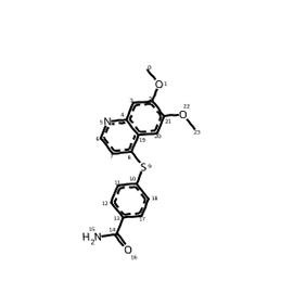 COc1cc2nccc(Sc3ccc(C(N)=O)cc3)c2cc1OC